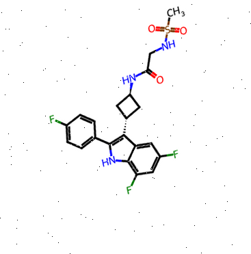 CS(=O)(=O)NCC(=O)N[C@H]1C[C@H](c2c(-c3ccc(F)cc3)[nH]c3c(F)cc(F)cc32)C1